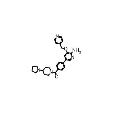 Nc1ncc(-c2ccc(C(=O)N3CCC(N4CCCC4)CC3)cc2)cc1OCc1ccncc1